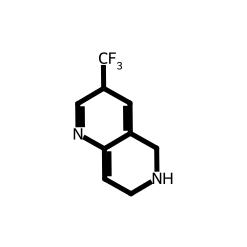 FC(F)(F)C1C=NC2=CCNCC2=C1